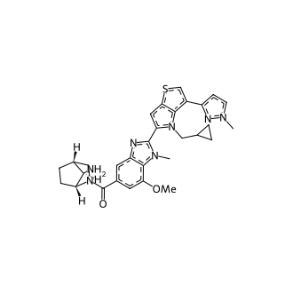 COc1cc(C(=O)N2C[C@H]3CC[C@@H]2[C@@H]3N)cc2nc(-c3cc4scc(-c5ccn(C)n5)c4n3CC3CC3)n(C)c12